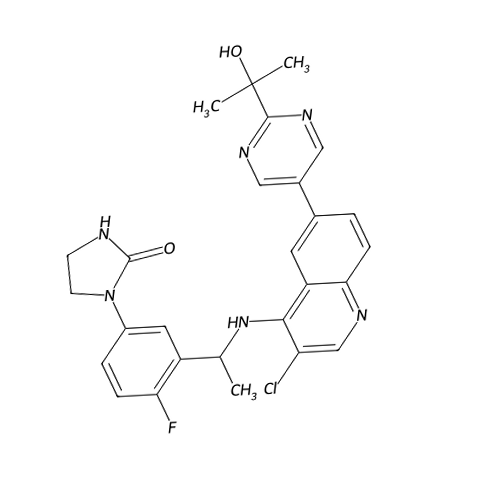 CC(Nc1c(Cl)cnc2ccc(-c3cnc(C(C)(C)O)nc3)cc12)c1cc(N2CCNC2=O)ccc1F